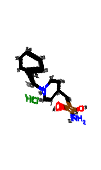 Cl.NS(=O)(=O)CC1CCN(Cc2ccccc2)CC1